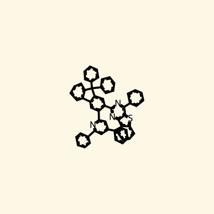 c1ccc(-c2cc(-c3ccccc3)nc(-c3cc4c(cc3-c3nc(-c5ccccc5)c5sc6ccccc6c5n3)C(c3ccccc3)(c3ccccc3)c3ccccc3-4)c2)cc1